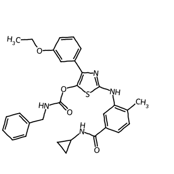 CCOc1cccc(-c2nc(Nc3cc(C(=O)NC4CC4)ccc3C)sc2OC(=O)NCc2ccccc2)c1